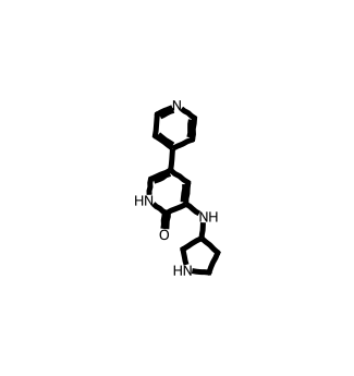 O=c1[nH]cc(-c2ccncc2)cc1NC1CCNC1